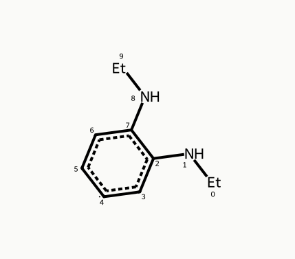 CCNc1c[c]ccc1NCC